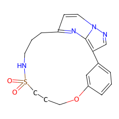 O=S1(=O)CCCOc2cccc(c2)-c2cnn3ccc(nc23)CCCN1